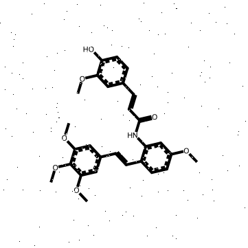 COc1ccc(C=Cc2cc(OC)c(OC)c(OC)c2)c(NC(=O)/C=C/c2ccc(O)c(OC)c2)c1